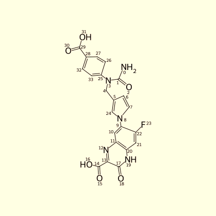 NC(=O)N(Cc1ccn(-c2cc3nc(C(=O)O)c(=O)[nH]c3cc2F)c1)c1ccc(C(=O)O)cc1